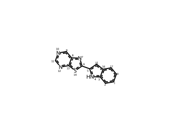 c1ccc2[nH]c(-c3nc4cncnc4s3)cc2c1